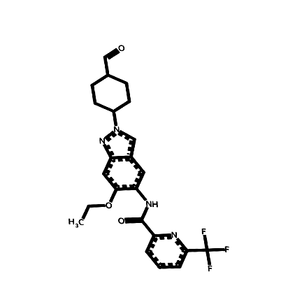 CCOc1cc2nn(C3CCC(C=O)CC3)cc2cc1NC(=O)c1cccc(C(F)(F)F)n1